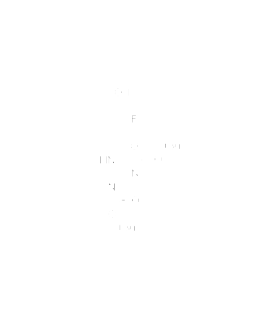 CC(C)(C)OC(=O)/N=C(/NCc1c(F)ccc(O)c1F)NC(=O)OC(C)(C)C